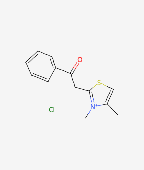 Cc1csc(CC(=O)c2ccccc2)[n+]1C.[Cl-]